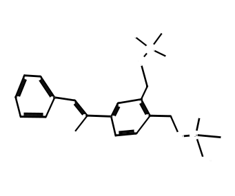 CC(C)(C)[Si](C)(C)OCc1ccc(C(Br)=Cc2cc[c]cc2)cc1CO[Si](C)(C)C(C)(C)C